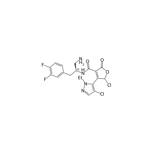 CCn1ncc(Cl)c1C1=C(C(=O)N[C@H](CN)Cc2ccc(F)c(F)c2)C(=O)OC1Cl